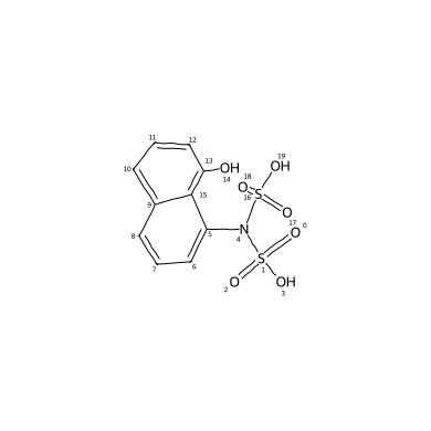 O=S(=O)(O)N(c1cccc2cccc(O)c12)S(=O)(=O)O